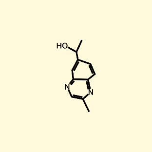 Cc1cnc2cc(C(C)O)ccc2n1